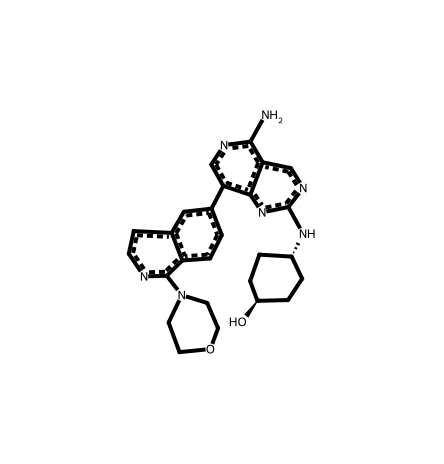 Nc1ncc(-c2ccc3c(N4CCOCC4)nccc3c2)c2nc(N[C@H]3CC[C@H](O)CC3)ncc12